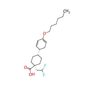 CCCCCCOC1=CCC([C@H]2CC[C@](CC(F)F)(C(=O)O)CC2)C=C1